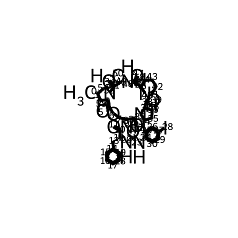 C[C@H]1C[C@H]2C(=O)OC[C@H](NC(=O)[C@H](Cc3ccccc3)NC(=O)Nc3ccc(I)cc3)C(=O)N3CCC[C@H]3C(=O)N3CCCC[C@H]3C(=O)N[C@@H](C)C(=O)N2C1